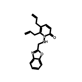 C=CCc1ccc(=O)n(NCc2nc3ccccc3o2)c1CC=C